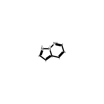 [c]1cc2cccnn2n1